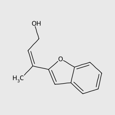 C/C(=C/CO)c1cc2ccccc2o1